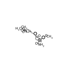 COc1ccc(-n2nc(C(N)=O)c3c2C(=O)N(c2cccc(CCN4CCN(C(=O)OC(C)(C)C)CC4)c2)CC3)cc1